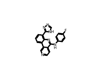 Fc1ccc(Nc2nc3c(-c4nnc[nH]4)cccc3c3cnccc23)cc1